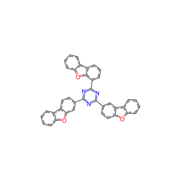 c1ccc2c(c1)oc1cc(-c3nc(-c4ccc5oc6ccccc6c5c4)nc(-c4cccc5c4oc4ccccc45)n3)ccc12